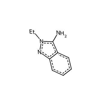 CCn1nc2ccccc2c1N